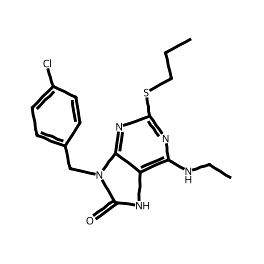 CCCSc1nc(NCC)c2[nH]c(=O)n(Cc3ccc(Cl)cc3)c2n1